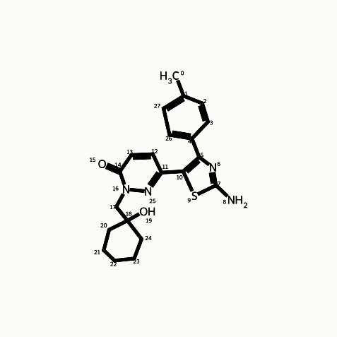 Cc1ccc(-c2nc(N)sc2-c2ccc(=O)n(CC3(O)CCCCC3)n2)cc1